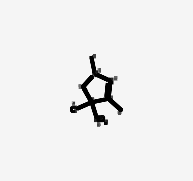 CC1=NN(C)CC1(Cl)[N+](=O)[O-]